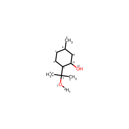 [2H]OC(C)(C)C1CCC(C)CC1O